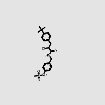 CC(C)(C)c1ccc(CC(Cl)C(=O)NCc2ccc(NS(C)(=O)=O)cc2)cc1